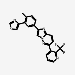 Cc1ccc(-c2cn3nc(-c4cccnc4C(F)(F)F)ccc3n2)cc1-c1cscn1